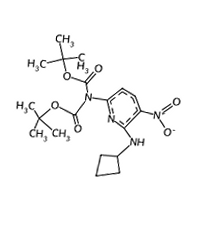 CC(C)(C)OC(=O)N(C(=O)OC(C)(C)C)c1ccc([N+](=O)[O-])c(NC2CCC2)n1